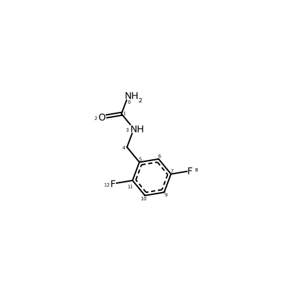 NC(=O)NCc1cc(F)ccc1F